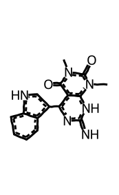 Cn1c(=O)c2c(-c3c[nH]c4ccccc34)nc(=N)[nH]c2n(C)c1=O